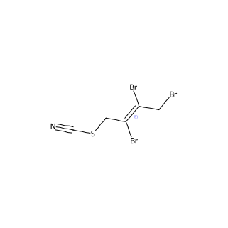 N#CSC/C(Br)=C(\Br)CBr